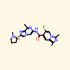 Cc1nc(NC(=O)c2cc3c(C)nc(C)n3cc2F)cn2cc([C@H]3CCCN3C)nc12